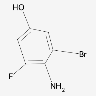 Nc1c(F)cc(O)cc1Br